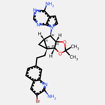 CC1(C)O[C@H]2[C@H](n3ccc4c(N)ncnc43)[C@H]3C[C@@]3(CCc3ccc4cc(Br)c(N)nc4c3)[C@H]2O1